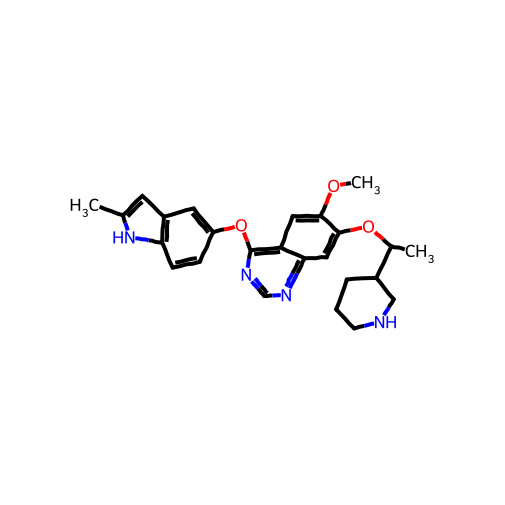 COc1cc2c(Oc3ccc4[nH]c(C)cc4c3)ncnc2cc1OC(C)C1CCCNC1